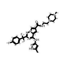 Cc1cc(Nc2nc(C(F)(F)c3ccc(F)cc3)nn3cc(C(=O)NCCN4CCN(C)CC4)cc23)n[nH]1